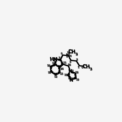 CCCCN(C)Cc1[nH]c2ccccc2c1Cn1ccnc1